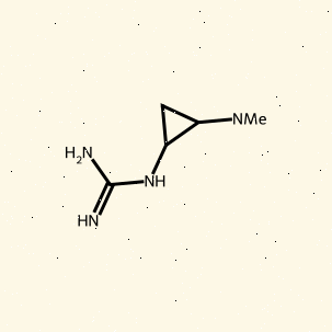 CNC1CC1NC(=N)N